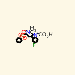 Cc1c(Cc2ncoc2S(=O)(=O)c2ccccc2)c2cc(F)ccc2n1CC(=O)O